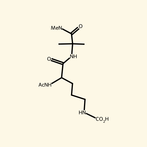 CNC(=O)C(C)(C)NC(=O)C(CCCNC(=O)O)NC(C)=O